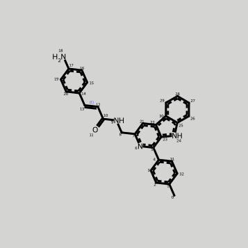 Cc1ccc(-c2nc(CNC(=O)/C=C/c3ccc(N)cc3)cc3c2[nH]c2ccccc23)cc1